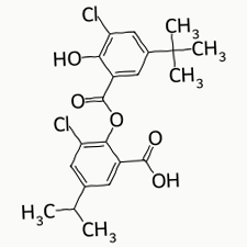 CC(C)c1cc(Cl)c(OC(=O)c2cc(C(C)(C)C)cc(Cl)c2O)c(C(=O)O)c1